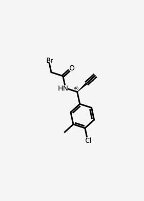 C#C[C@H](NC(=O)CBr)c1ccc(Cl)c(C)c1